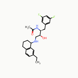 CCc1ccc2c(c1)C(NC[C@H](O)[C@H](Cc1cc(F)cc(F)c1)NC(C)=O)CCC2